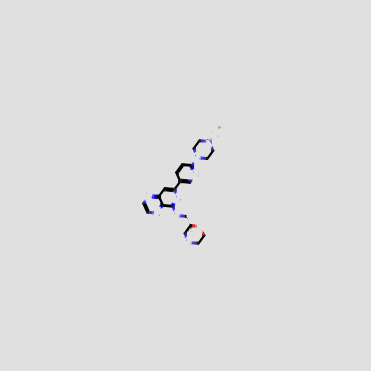 CS(=O)(=O)N1CCN(c2ccc(-c3cc4nccnc4c(NC[C@@H]4CNCCO4)n3)cn2)CC1